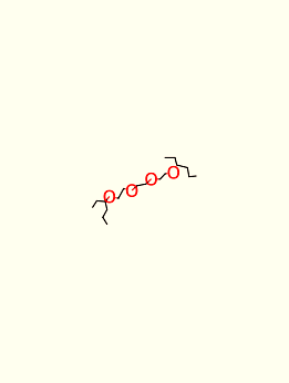 CCCC(CC)OCCOCCOCCOC(CC)CCC